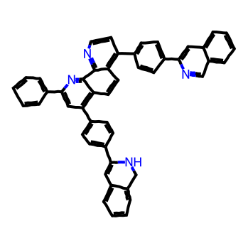 C1=C(c2ccc(-c3cc(-c4ccccc4)nc4c3ccc3c(-c5ccc(-c6cc7ccccc7cn6)cc5)ccnc34)cc2)NCc2ccccc21